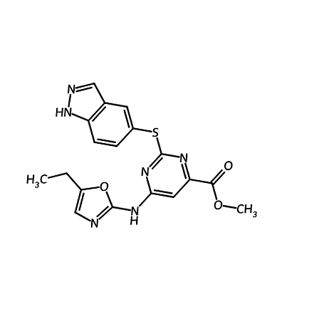 CCc1cnc(Nc2cc(C(=O)OC)nc(Sc3ccc4[nH]ncc4c3)n2)o1